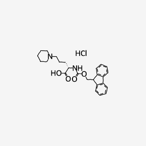 Cl.O=C(N[C@@H](CCCN1CCCCC1)C(=O)O)OCC1c2ccccc2-c2ccccc21